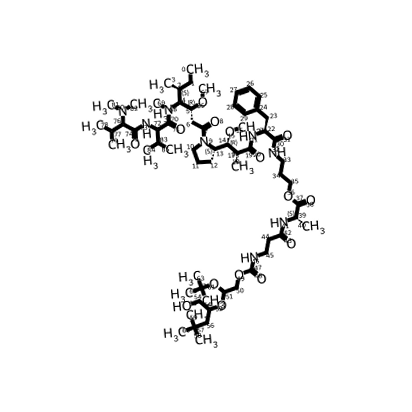 CC[C@H](C)C([C@@H](CC(=O)N1CCC[C@H]1[C@H](OC)[C@@H](C)C(=O)N[C@@H](Cc1ccccc1)C(=O)NCCCOC(=O)[C@H](C)NC(=O)CCNC(=O)OCC(OC(CO)CC(C)(C)C)OC(C)(C)C)OC)N(C)C(=O)C(NC(=O)C(C(C)C)N(C)C)C(C)C